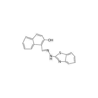 Oc1ccc2ccccc2c1C=NNc1nc2ccccc2s1